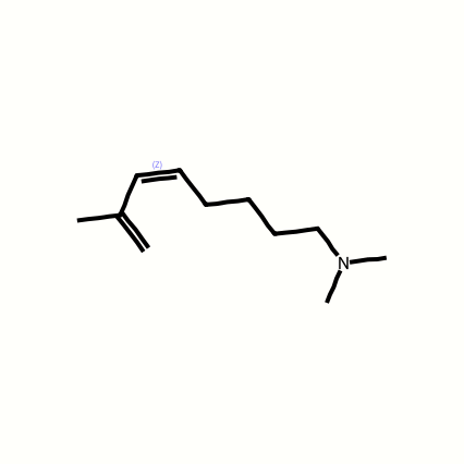 C=C(C)/C=C\CCCCN(C)C